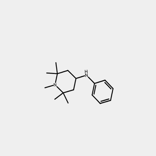 CN1C(C)(C)CC(Nc2ccccc2)CC1(C)C